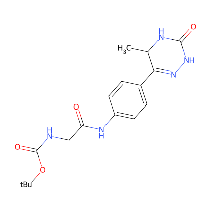 CC1NC(=O)NN=C1c1ccc(NC(=O)CNC(=O)OC(C)(C)C)cc1